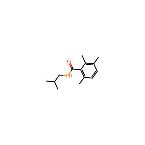 Cc1ccc(C)c(C(=O)PCC(C)C)c1C